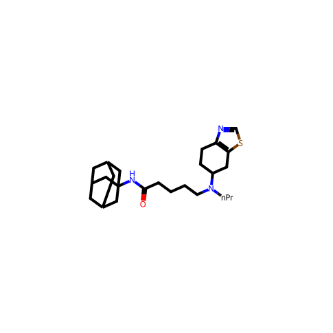 CCCN(CCCCC(=O)NC12CC3CC(CC(C3)C1)C2)C1CCc2ncsc2C1